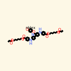 C=CC(=O)OCCCCCCOC(=O)c1ccc(Nc2ccc3c(c2)nc(Oc2ccc(OCCCCCC)cc2)c2cc(Nc4ccc(C(=O)OCCCCCCOC(=O)C=C)cc4)ccc23)cc1